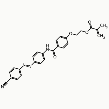 C=C(C)C(=O)OCCOc1ccc(C(=O)Nc2ccc(/N=N/c3ccc(C#N)cc3)cc2)cc1